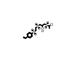 C=Cc1ccc(S(=O)(=O)CCS(=O)(=O)CC(O)CS(=O)(=O)C(C)Cl)cc1